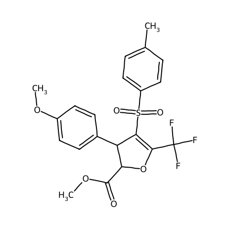 COC(=O)C1OC(C(F)(F)F)=C(S(=O)(=O)c2ccc(C)cc2)C1c1ccc(OC)cc1